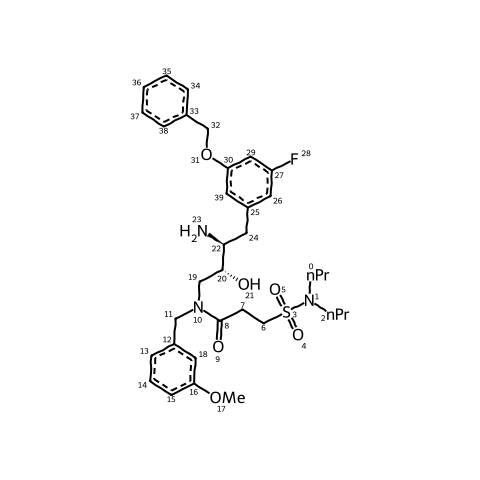 CCCN(CCC)S(=O)(=O)CCC(=O)N(Cc1cccc(OC)c1)C[C@@H](O)[C@@H](N)Cc1cc(F)cc(OCc2ccccc2)c1